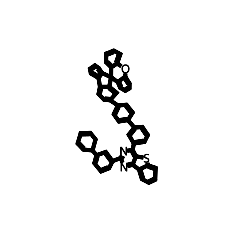 C1=CCC(c2cccc(-c3nc(-c4cccc(-c5ccc(-c6ccc7c(c6)C6(c8ccccc8Oc8ccccc86)c6ccccc6-7)cc5)c4)c4sc5ccccc5c4n3)c2)C=C1